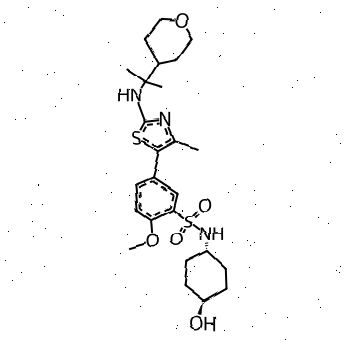 COc1ccc(-c2sc(NC(C)(C)C3CCOCC3)nc2C)cc1S(=O)(=O)N[C@H]1CC[C@H](O)CC1